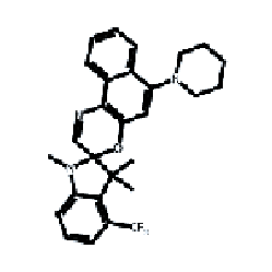 CN1c2cccc(C(F)(F)F)c2C(C)(C)C12C=Nc1c(cc(N3CCCCC3)c3ccccc13)O2